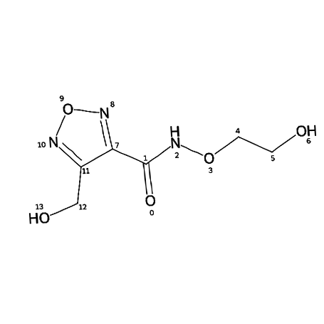 O=C(NOCCO)c1nonc1CO